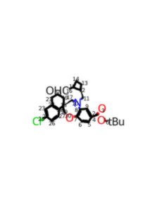 CC(C)(C)OC(=O)c1ccc2c(c1)N(C[C@@H]1CCC1C=O)C[C@@]1(CCCc3cc(Cl)ccc31)CO2